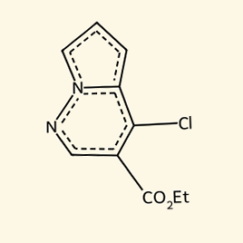 CCOC(=O)c1cnn2cccc2c1Cl